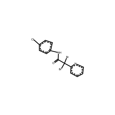 O=C(Nc1ccc(Cl)cc1)C(Br)(Br)c1ccccn1